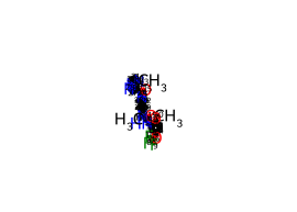 COc1ccc(OC(F)(F)F)cc1NC(=O)N(C)C1CC2(C1)CN(C(=O)c1cnn3ccn(C)c13)C2